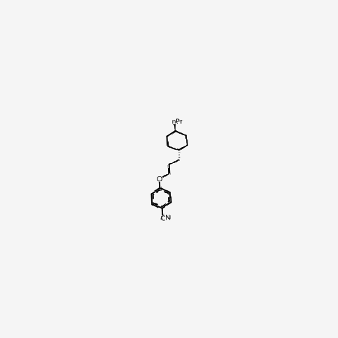 CCC[C@H]1CC[C@H](CCCOc2ccc(C#N)cc2)CC1